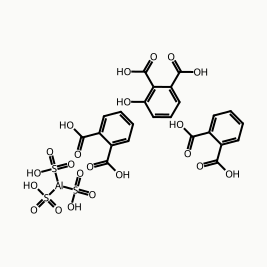 O=C(O)c1cccc(O)c1C(=O)O.O=C(O)c1ccccc1C(=O)O.O=C(O)c1ccccc1C(=O)O.O=[S](=O)(O)[Al]([S](=O)(=O)O)[S](=O)(=O)O